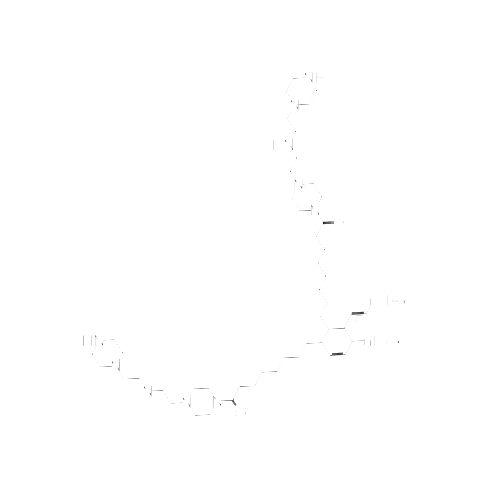 CCCCCC/C=C/C1C(CCCCCC)C=CC(CCCCCCCC(=O)N2CCN(CCNCCN3CCNCC3)CC2)C1CCCCCCCC(=O)N1CCN(CCNCCN2CCNCC2)CC1